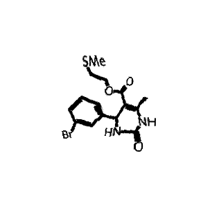 CSCCOC(=O)C1=C(C)NC(=O)NC1c1cccc(Br)c1